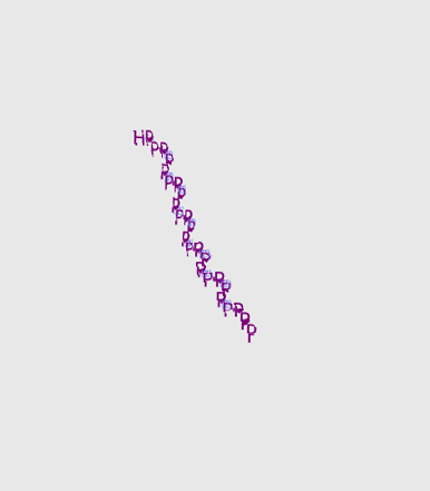 P#P=P\P=P/P=P\P=P/P=P\P=P/P=P\P=P/P=P\P=P/P=P\P=P